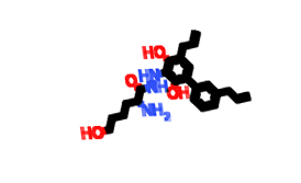 C=CCc1cccc(-c2cc(CC=C)c(O)c(NNC(=O)C(N)CCCCO)c2O)c1